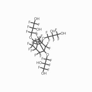 OC(F)(F)C(O)(F)C(F)(F)OC12C(F)(F)C3(F)C(F)(F)C(OC(F)(F)C(O)(F)C(O)(F)F)(C1(F)F)C(F)(F)C(OC(F)(F)C(O)(F)C(O)(F)F)(C3(F)F)C2(F)F